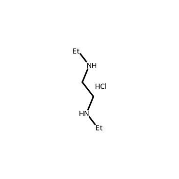 CCNCCNCC.Cl